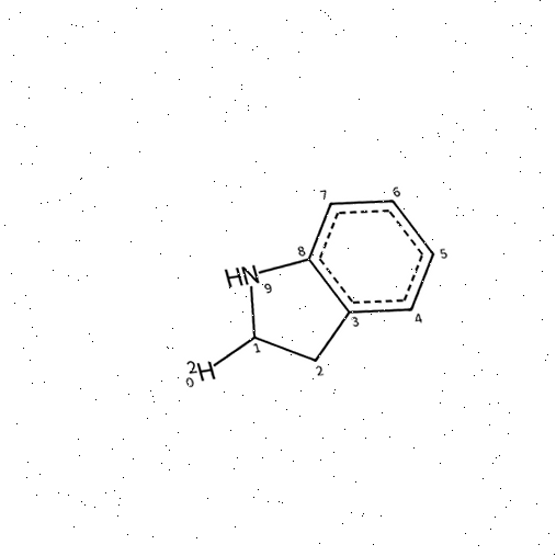 [2H]C1Cc2ccccc2N1